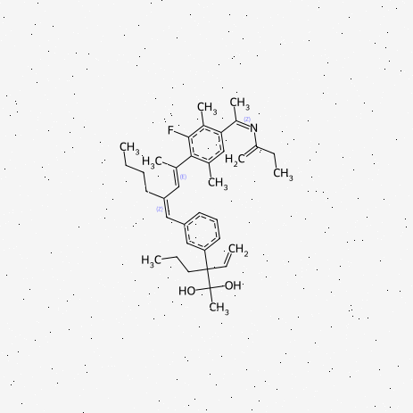 C=CC(CCC)(c1cccc(/C=C(\C=C(/C)c2c(C)cc(/C(C)=N\C(=C)CC)c(C)c2F)CCCC)c1)C(C)(O)O